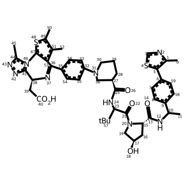 Cc1ncsc1-c1ccc(C(C)NC(=O)[C@@H]2C[C@@H](O)CN2C(=O)C(NC(=O)[C@@H]2CCCN(c3ccc(C4=N[C@@H](CC(=O)O)c5nnc(C)n5-c5sc(C)c(C)c54)cc3)C2)C(C)(C)C)cc1